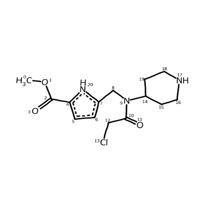 COC(=O)c1ccc(CN(C(=O)CCl)C2CCNCC2)[nH]1